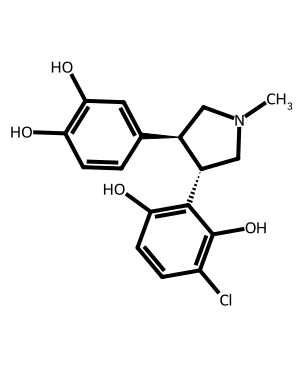 CN1C[C@H](c2ccc(O)c(O)c2)[C@@H](c2c(O)ccc(Cl)c2O)C1